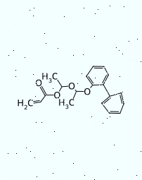 C=CC(=O)OC(C)OC(C)Oc1ccccc1-c1ccccc1